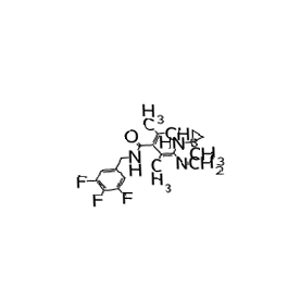 C=N/C(NC1(C)CC1)=C(\C)C(C(=O)NCc1cc(F)c(F)c(F)c1)=C(C)C